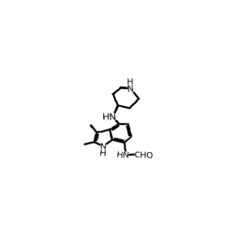 Cc1[nH]c2c(NC=O)ccc(NC3CCNCC3)c2c1C